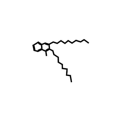 CCCCCCCCCCc1cc2ccccc2c(C)c1CCCCCCCCCC